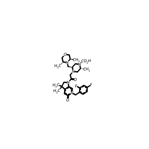 C[C@@H]1CN(CC(=O)N2CC(C)(C)c3cc(=O)n(Cc4ccc(F)cc4F)cc32)[C@@H](CN2[C@H](C)COC[C@H]2C)CN1C(=O)O